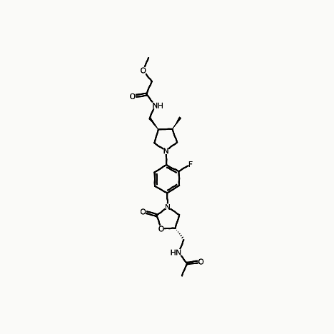 COCC(=O)NC[C@@H]1CN(c2ccc(N3C[C@H](CNC(C)=O)OC3=O)cc2F)C[C@@H]1C